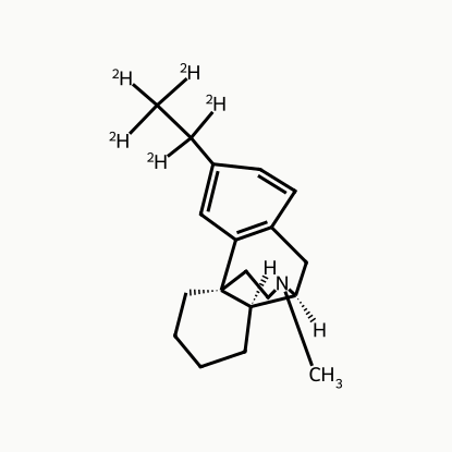 [2H]C([2H])([2H])C([2H])([2H])c1ccc2c(c1)[C@]13CCCC[C@@H]1[C@H](C2)N(C)CC3